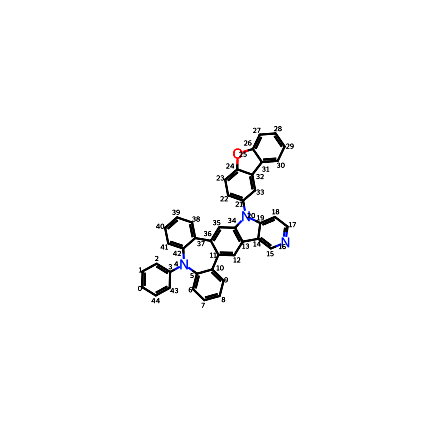 c1ccc(N2c3ccccc3-c3cc4c5cnccc5n(-c5ccc6oc7ccccc7c6c5)c4cc3-c3ccccc32)cc1